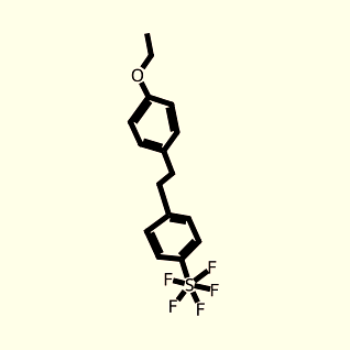 CCOc1ccc(CCc2ccc(S(F)(F)(F)(F)F)cc2)cc1